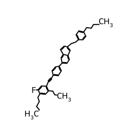 CCCCCc1ccc(CCc2ccc3cc(-c4ccc(C#Cc5cc(F)c(CCCCC)cc5CCC)cc4)ccc3c2)cc1